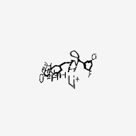 [2H]C1([2H])CC(CNC(=O)c2cc(F)cc(Cl)c2)CC([2H])([2H])N1CC(=O)[O-].[Li+]